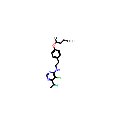 CCC(CCC(=O)O)Oc1ccc(CCNc2ncnc(C(C)F)c2Cl)cc1